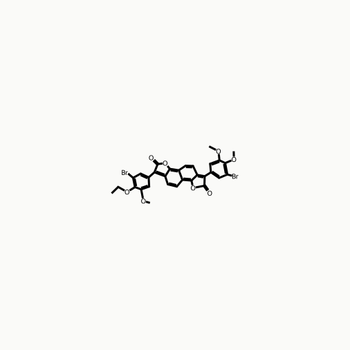 CCOc1c(Br)cc(C2=c3ccc4c5c(ccc4c3OC2=O)=C(c2cc(Br)c(OC)c(OC)c2)C(=O)O5)cc1OC